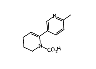 Cc1ccc(C2=CCCCN2C(=O)O)cn1